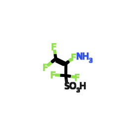 N.O=S(=O)(O)C(F)(F)C(F)=C(F)F